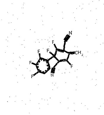 C=C1C(F)=C(C#N)C(F)(c2ccc(F)c(F)c2F)C(F)=C1C#N